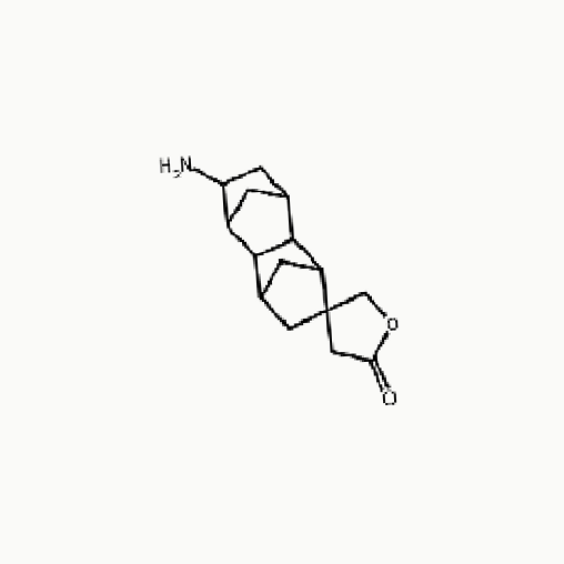 NC1CC2CC1C1C3CC(C21)C1(COC(=O)C1)C3